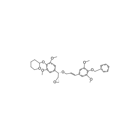 COc1cc(C=CCO[C@@H](c2cc(OC)c(OC3CCCCO3)c(OC)c2)[C@@H]2CO2)cc(OC)c1OCc1ccccc1